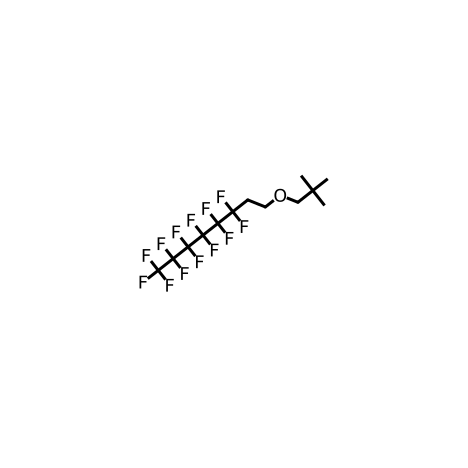 CC(C)(C)COCCC(F)(F)C(F)(F)C(F)(F)C(F)(F)C(F)(F)C(F)(F)F